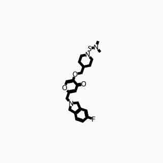 CN(C)SN1CCC(COc2coc(CN3Cc4ccc(F)cc4C3)cc2=O)CC1